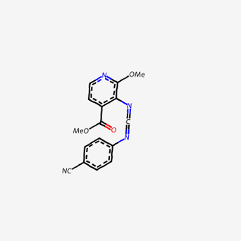 COC(=O)c1ccnc(OC)c1N=C=Nc1ccc(C#N)cc1